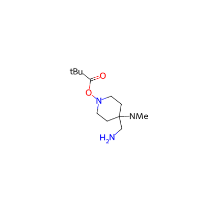 CNC1(CN)CCN(OC(=O)C(C)(C)C)CC1